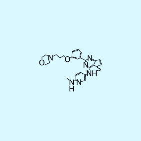 CNc1ccc(Nc2nc(-c3cccc(OCCCN4CCOCC4)c3)nc3ccsc23)cn1